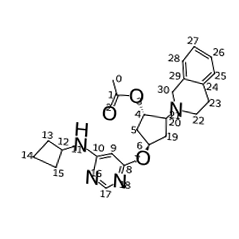 CC(=O)O[C@H]1C[C@H](Oc2cc(NC3CCC3)ncn2)CC1N1CCc2ccccc2C1